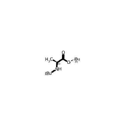 CC[C@@H](C)OC(=O)[C@H](C)NC(C)(C)C